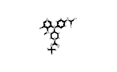 COc1c(F)cncc1N(c1ccc(OC(F)F)cc1)C1CCN(C(=O)OC(C)(C)C)CC1